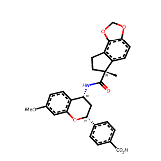 COc1ccc2c(c1)O[C@@H](c1ccc(C(=O)O)cc1)C[C@H]2NC(=O)[C@]1(C)CCc2c1ccc1c2OCO1